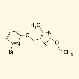 CCOc1nc(C)c(COc2cccc(Br)n2)s1